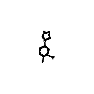 Fc1ccc(-n2cnnc2)cc1F